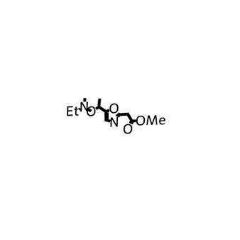 CCN(C)OC(C)c1cnc(CC(=O)OC)o1